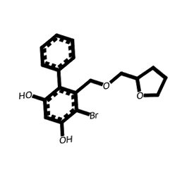 Oc1cc(O)c(-c2ccccc2)c(COCC2CCCO2)c1Br